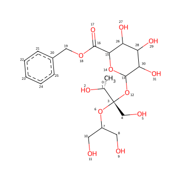 C[C@@H](O)[C@@](CO)(OC(CO)CO)OC1OC(C(=O)OCc2ccccc2)C(O)C(O)C1O